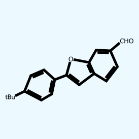 CC(C)(C)c1ccc(-c2cc3ccc(C=O)cc3o2)cc1